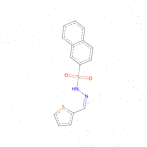 O=S(=O)(N/N=C\c1cccs1)c1ccc2ccccc2c1